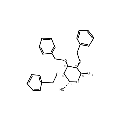 C[C@H]1O[C@H](O)[C@H](OCc2ccccc2)[C@@H](OCc2ccccc2)[C@H]1OCc1ccccc1